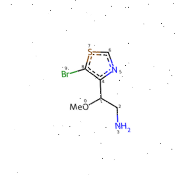 COC(CN)c1ncsc1Br